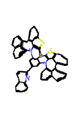 c1ccc2nc(-c3cc4c5c(c3)-n3c6cccc7cccc(c8cccc9sc(c3c98)B5c3sc5cccc8c9cccc%10cccc(c%109)n-4c3c58)c76)ccc2c1